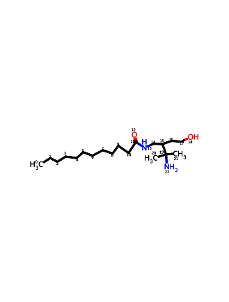 CCCCCCCCCCCC(=O)NCC(CCO)C(C)(C)N